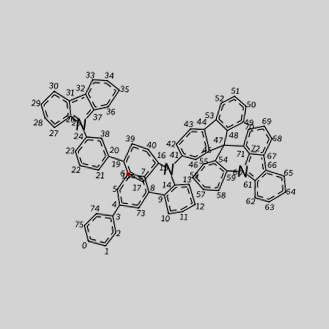 c1ccc(-c2cccc(-c3ccccc3N(c3ccc(-c4cccc(-n5c6ccccc6c6ccccc65)c4)cc3)c3ccc4c(c3)C3(c5ccccc5-4)c4ccccc4-n4c5ccccc5c5cccc3c54)c2)cc1